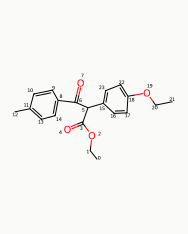 CCOC(=O)C(C(=O)c1ccc(C)cc1)c1ccc(OCC)cc1